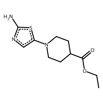 CCOC(=O)C1CCN(c2cnc(N)s2)CC1